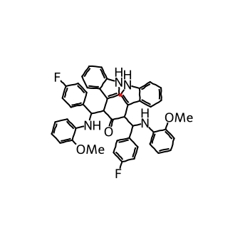 COc1ccccc1NC(c1ccc(F)cc1)C(C(=O)C(c1c[nH]c2ccccc12)C(Nc1ccccc1OC)c1ccc(F)cc1)c1c[nH]c2ccccc12